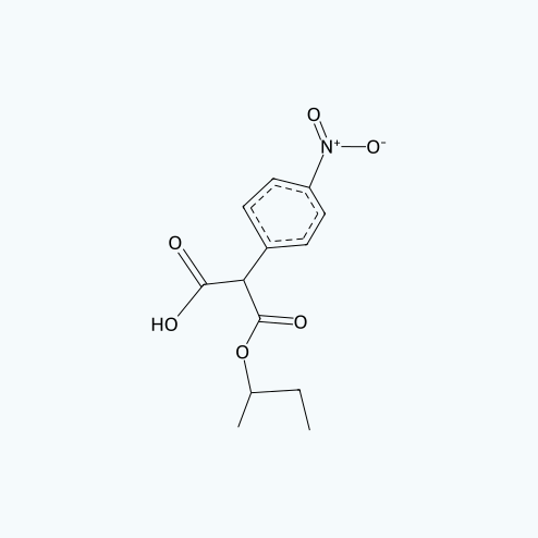 CCC(C)OC(=O)C(C(=O)O)c1ccc([N+](=O)[O-])cc1